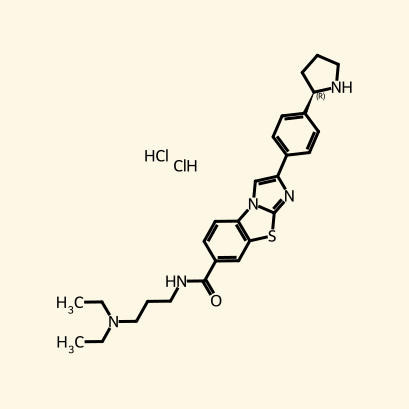 CCN(CC)CCCNC(=O)c1ccc2c(c1)sc1nc(-c3ccc([C@H]4CCCN4)cc3)cn12.Cl.Cl